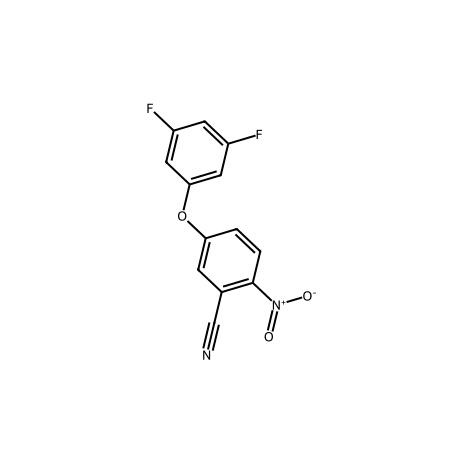 N#Cc1cc(Oc2cc(F)cc(F)c2)ccc1[N+](=O)[O-]